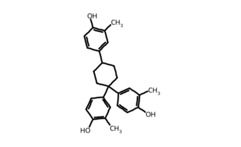 Cc1cc(C2CCC(c3ccc(O)c(C)c3)(c3ccc(O)c(C)c3)CC2)ccc1O